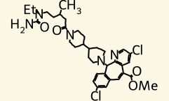 CCN(CCC(C)CC(=O)N1CCC(C2CCN(C3c4ccc(Cl)cc4C=C(C(=O)OC)c4cc(Cl)cnc43)CC2)CC1)C(N)=O